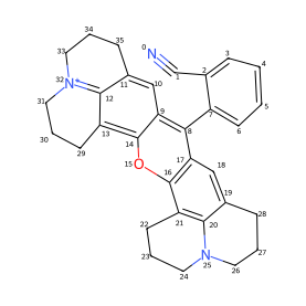 N#Cc1ccccc1C1=c2cc3c4c(c2Oc2c1cc1c5c2CCCN5CCC1)CCC[N+]=4CCC3